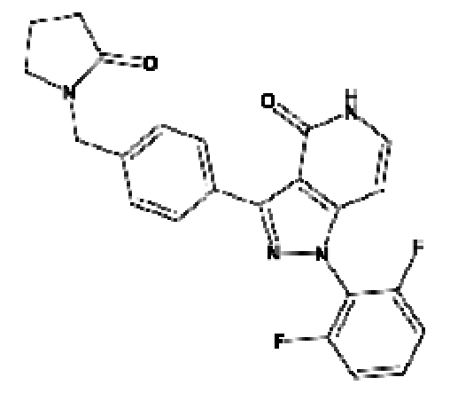 O=C1CCCN1Cc1ccc(-c2nn(-c3c(F)cccc3F)c3cc[nH]c(=O)c23)cc1